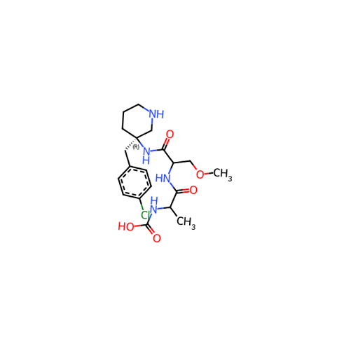 COCC(NC(=O)C(C)NC(=O)O)C(=O)N[C@@]1(Cc2ccc(Cl)cc2)CCCNC1